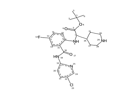 CC(C)(C)OC(=O)C(Nc1ccc(F)cc1C(=O)Nc1ccc(Cl)cn1)C1CCNCC1